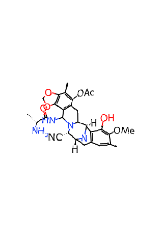 COc1c(C)cc2c(c1O)[C@@H]1C3Cc4c(OC(C)=O)c(C)c5c(c4C(NC(=O)[C@@H](C)N)N3[C@@H](C#N)[C@@H](C2)N1C)OCO5